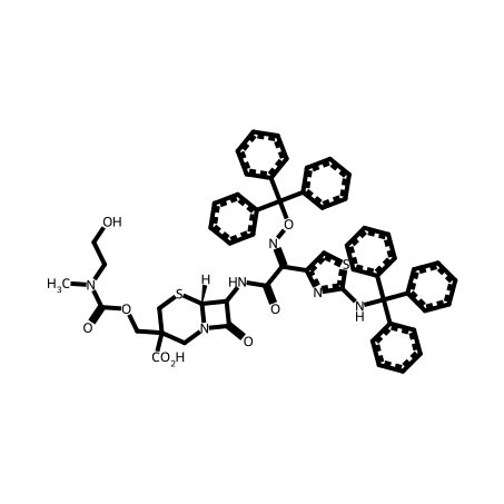 CN(CCO)C(=O)OCC1(C(=O)O)CS[C@@H]2C(NC(=O)C(=NOC(c3ccccc3)(c3ccccc3)c3ccccc3)c3csc(NC(c4ccccc4)(c4ccccc4)c4ccccc4)n3)C(=O)N2C1